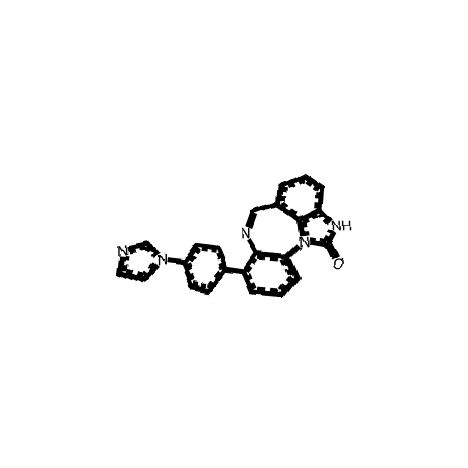 O=c1[nH]c2cccc3c2n1-c1cccc(-c2ccc(-n4ccnc4)cc2)c1N=C3